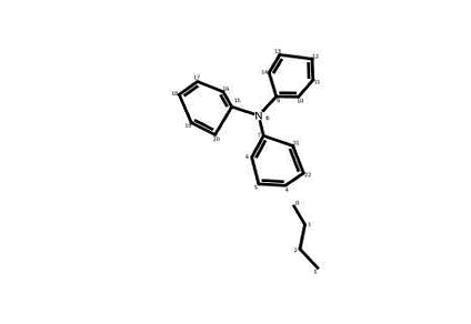 CCCC.c1ccc(N(c2ccccc2)c2ccccc2)cc1